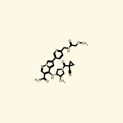 COCC(=O)NCc1ccc(-c2cc3c(N[C@@H]4CN(C(=O)C5(C#N)CC5)C[C@H]4C)c(C(N)=O)cnn3c2)cn1